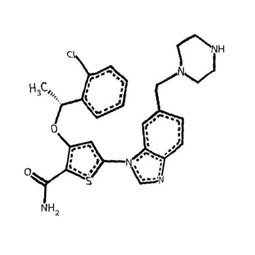 C[C@@H](Oc1cc(-n2cnc3ccc(CN4CCNCC4)cc32)sc1C(N)=O)c1ccccc1Cl